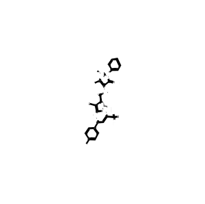 Cc1ccc(-c2cc(C(F)(F)F)n3nc(C(=O)Nc4c(C)n(C)n(-c5ccccc5)c4=O)c(Cl)c3n2)cc1